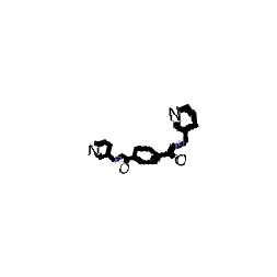 O=C(/C=C/c1cccnc1)c1ccc(C(=O)/C=C/c2cccnc2)cc1